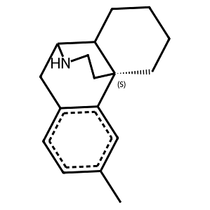 Cc1ccc2c(c1)[C@]13CCCCC1C(C2)NCC3